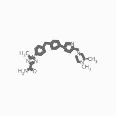 Cc1nc(C(N)=O)nn1-c1ccc(Cc2ccc(-c3ccc(CN4CCN(C)[C@H](C)C4)nc3)cc2)cc1